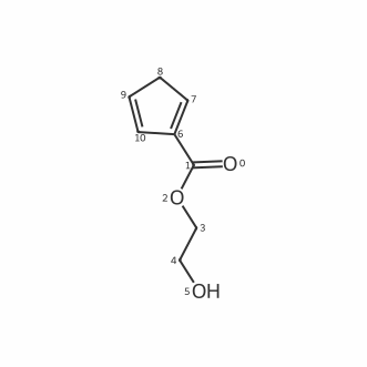 O=C(OCCO)C1=CCC=C1